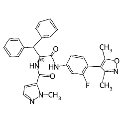 Cc1noc(C)c1-c1ccc(NC(=O)[C@@H](NC(=O)c2ccnn2C)C(c2ccccc2)c2ccccc2)cc1F